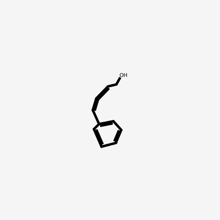 OCC=C=Cc1cc[c]cc1